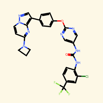 O=C(Nc1cnc(Oc2ccc(-c3cnn4ccc(N5CCC5)nc34)cc2)nc1)Nc1ccc(C(F)(F)F)cc1Cl